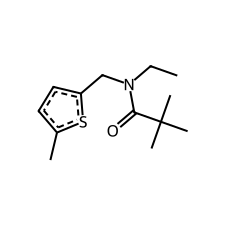 CCN(Cc1ccc(C)s1)C(=O)C(C)(C)C